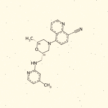 Cc1ccnc(NC[C@H]2CN(c3ccc(C#N)c4ncccc34)C[C@@H](C)O2)c1